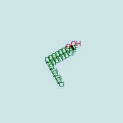 ClCCl.ClCCl.ClCCl.ClCCl.ClCCl.ClCCl.ClCCl.ClCCl.ClCCl.ClCCl.O=C(O)C(F)(F)F